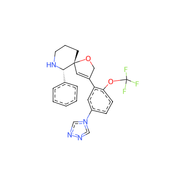 FC(F)(F)Oc1ccc(-n2cnnc2)cc1C1=C[C@@]2(CCCN[C@H]2c2ccccc2)OC1